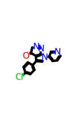 O=C1CN=Nc2c1c(-c1ccc(Cl)cc1)cn2-c1cccnc1